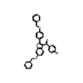 O=C(c1ccc(F)cc1)c1c(-c2ccc(OCc3ccccc3)cc2)sc2cc(OCc3ccccc3)ccc12